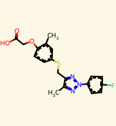 Cc1cc(SCc2nn(-c3ccc(F)cc3)nc2C)ccc1OCC(=O)O